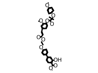 COC(=O)c1ccc(-c2ccc(OCCOC(=O)C=Cc3ccc(OC(=O)C(C)(C)Oc4ccc(OC)cc4)c(OC)c3)cc2)cc1O